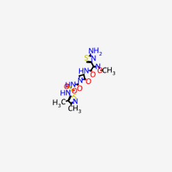 CO/N=C(\C(=O)N[C@H]1CN(C(=O)NS(=O)(=O)Nc2snc(C)c2C)C1=O)c1csc(N)n1